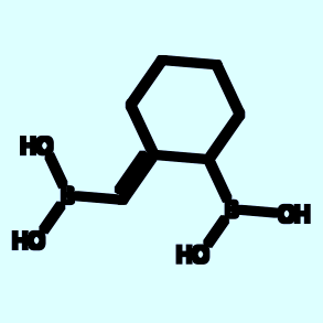 OB(O)C=C1CCCCC1B(O)O